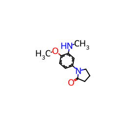 CNc1cc(N2CCCC2=O)ccc1OC